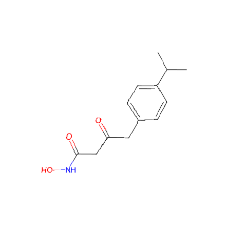 CC(C)c1ccc(CC(=O)CC(=O)NO)cc1